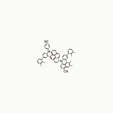 [C-]#[N+]c1ccc(N(C2=C3C=CC4=C5C(=CC=C(C=C2)C35)C(N(c2ccc(C#N)cc2)c2ccc(-c3cccc(C)c3C)cc2-c2cccc(C)c2C)C=C4)c2ccc(-c3cccc(C)c3C)cc2-c2cccc(C)c2C)cc1